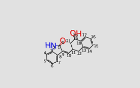 O=C1Nc2ccccc2C1=CC1Cc2ccccc2C(O)C1